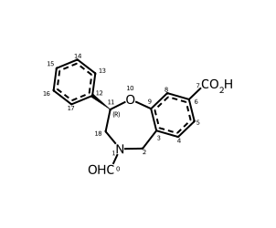 O=CN1Cc2ccc(C(=O)O)cc2O[C@H](c2ccccc2)C1